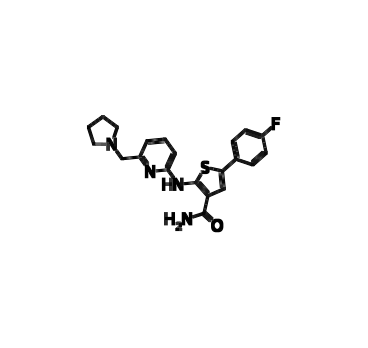 NC(=O)c1cc(-c2ccc(F)cc2)sc1Nc1cccc(CN2CCCC2)n1